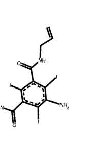 C=CCNC(=O)c1c(I)c(N)c(I)c(C(N)=O)c1I